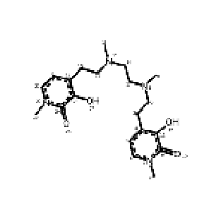 CN(CCc1ccn(C)c(=O)c1O)CCN(C)CCc1ccn(C)c(=O)c1O